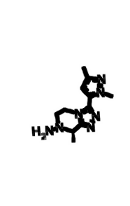 Cc1cc(-c2nnc3n2CCN(N)[C@@H]3C)n(C)n1